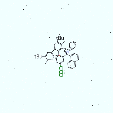 Cc1cc2c(cc1C(C)(C)C)-c1cc(C(C)(C)C)c(C)[c](/[Zr+2]([C]3=CC=CC3)=[C](\c3cccc(Cl)c3)c3cccc4ccccc34)c1C2.[Cl-].[Cl-]